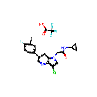 Cc1cc(-c2cnc3c(Cl)cn(CC(=O)NC4CC4)c3c2)ccc1F.O=C(O)C(F)(F)F